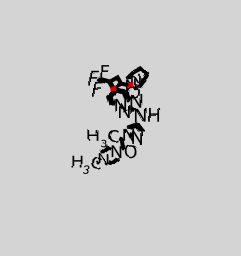 CC(C(=O)N1CCN(C)CC1)n1cc(Nc2nc3c(N4CC5CCC(C4)N5C(=O)C4CC(C(F)(F)F)C4)cccn3n2)cn1